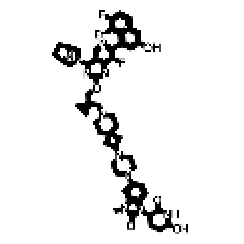 CCc1c(F)ccc2cc(O)cc(-c3ncc4c(N5CC6CCC(C5)N6)nc(OCC5(CN6CCC7(CC6)CC(N6CCN(c8ccc9c(c8)n(C)c(=O)n9C8CCC(O)NC8=O)CC6)C7)CC5)nc4c3F)c12